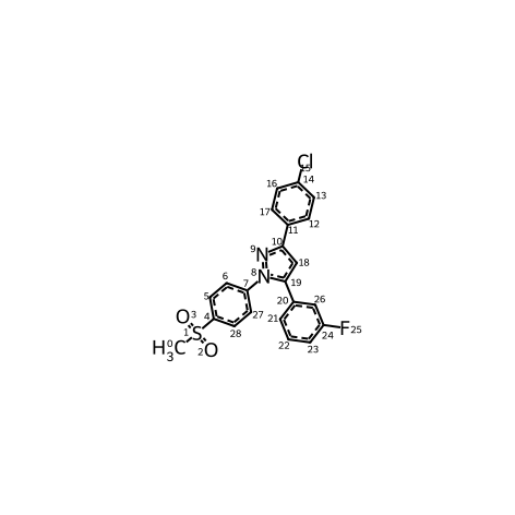 CS(=O)(=O)c1ccc(-n2nc(-c3ccc(Cl)cc3)cc2-c2cccc(F)c2)cc1